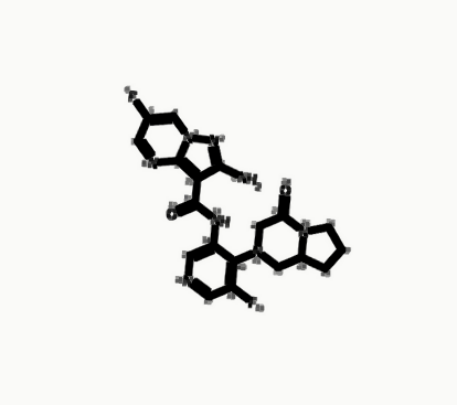 Nc1nn2cc(F)cnc2c1C(=O)Nc1cncc(F)c1N1CC(=O)N2CCCC2C1